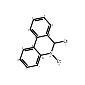 CCC1c2ccccc2-c2ccccc2N1CC